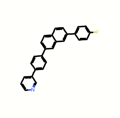 Fc1ccc(-c2ccc3ccc(-c4ccc(-c5cccnc5)cc4)cc3c2)cc1